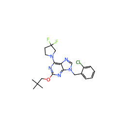 CC(C)(C)COc1nc(N2CCC(F)(F)C2)c2ncn(Cc3ccccc3Cl)c2n1